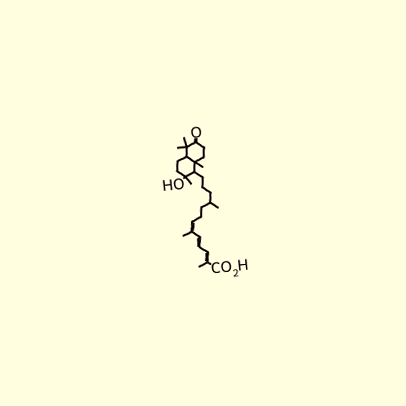 CC(C=CC=C(C)C(=O)O)=CCCC(C)CCCC1C(C)(O)CCC2C(C)(C)C(=O)CCC12C